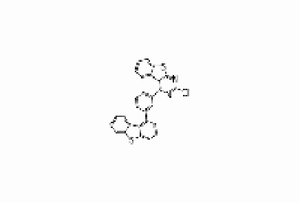 Clc1nc(-c2cccc(-c3cccc4sc5ccccc5c34)c2)c2c(n1)sc1ccccc12